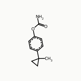 CC1(c2ccc(OC(N)=O)cc2)CC1